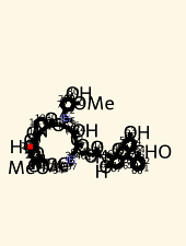 COC1CC(/C=C(\C)[C@H]2OC(=O)C3CCCCN3C(=O)C(=O)C3(O)O[C@@H](C(OC)CC3C)[C@@H](OC)C[C@@H](C)C/C(C)=C/[C@@H](CCOC(=O)NCc3c4oc5cc(O)ccc5c(-c5ccccc5C=O)c-4ccc3=O)C(=O)CC(O)[C@H]2C)CC[C@H]1O